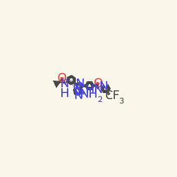 Nc1nccn2c([C@@H]3CCC[C@@H](NC(=O)C4CC4)C3)nc(-c3ccc(C(=O)Nc4cc(C(F)(F)F)ccn4)cc3)c12